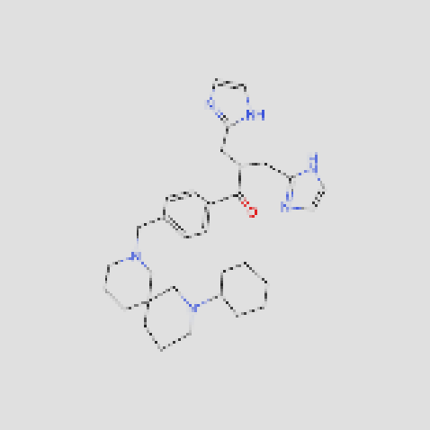 O=C(c1ccc(CN2CCCC3(CCCN(C4CCCCC4)C3)C2)cc1)C(Cc1ncc[nH]1)Cc1ncc[nH]1